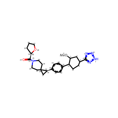 COC1CC(c2nn[nH]n2)CCC1c1ccc([C@H]2CC23CCN(C(=O)[C@H]2CCCO2)CC3)cc1